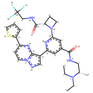 CCN(CC)[C@@H](C)CNC(=O)c1cc(-c2cnn3ccc(-c4cccs4)nc23)nc(N2CC[C@H]2C(=O)NCC(F)(F)F)c1